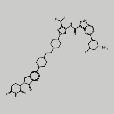 N[C@@H]1C[C@@H](F)CN(c2ccn3ncc(C(=O)Nc4cn(C5CCN(CCN6CCN(c7ccc8c(c7)CN(C7CCC(=O)NC7=O)C8=O)CC6)CC5)nc4C(F)F)c3n2)C1